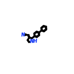 N#CC=C1CCNC1c1ccc(-c2ccccc2)cc1